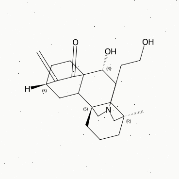 C=C1C(=O)C23CC[C@H]1CC2[C@@]12CCC[C@@](C)(CN(CCO)C1)C2C[C@H]3O